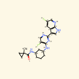 N#CC1(C(=O)N[C@@H]2CCC[C@H](Nc3nc(-c4c[nH]c5ncc(F)cc45)ncc3F)C2)CC1